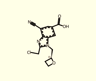 N#Cc1cc(C(=O)O)cc2c1nc(CCl)n2C[C@@H]1CCO1